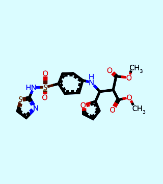 COC(=O)C(C(=O)OC)C(Nc1ccc(S(=O)(=O)Nc2nccs2)cc1)c1ccco1